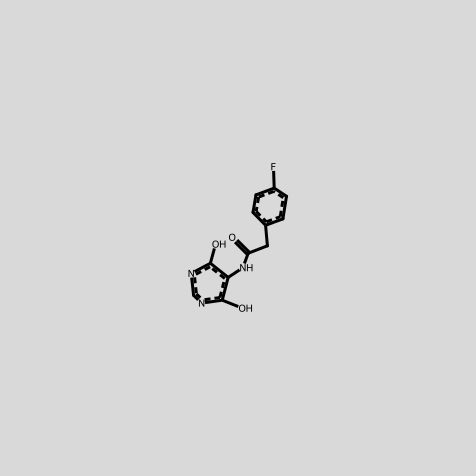 O=C(Cc1ccc(F)cc1)Nc1c(O)ncnc1O